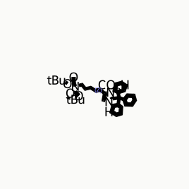 CC(C)(C)OC(=O)N(CCC/C=C(\C(=O)O)c1c[nH]c(C(c2ccccc2)(c2ccccc2)c2ccccc2)n1)C(=O)OC(C)(C)C